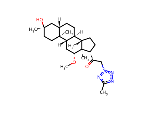 CO[C@@H]1C[C@H]2[C@@H](CC[C@H]3C[C@](C)(O)CC[C@@]32C)[C@]2(C)CC[C@H](C(=O)Cn3nnc(C)n3)[C@@]12C